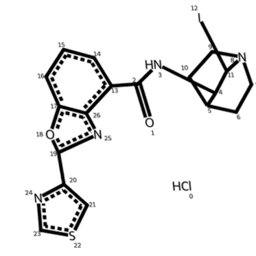 Cl.O=C(NC1C2CCN(CC2)C1I)c1cccc2oc(-c3cscn3)nc12